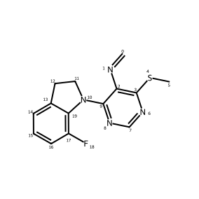 C=Nc1c(SC)ncnc1N1CCc2cccc(F)c21